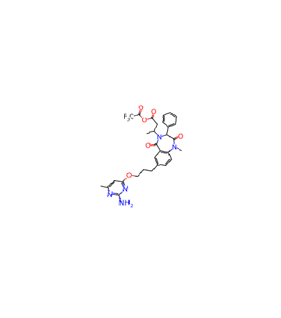 Cc1cc(OCCCc2ccc3c(c2)C(=O)N(C(C)CC(=O)OC(=O)C(F)(F)F)C(c2ccccc2)C(=O)N3C)nc(N)n1